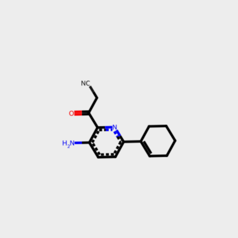 N#CCC(=O)c1nc(C2=CCCCC2)ccc1N